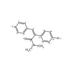 CN(C)C(=O)C(=Cc1ccncc1)c1ccc(F)cc1